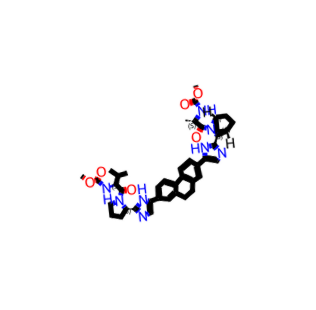 COC(=O)N[C@@H](C)C(=O)N1[C@@H]2CC[C@@H](C2)[C@H]1c1ncc(-c2ccc3c(c2)CCc2cc(-c4cnc([C@@H]5CCCN5C(=O)[C@@H](NC(=O)OC)C(C)C)[nH]4)ccc2-3)[nH]1